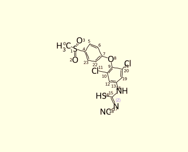 CS(=O)(=O)c1ccc(Oc2c(Cl)cc(N/C(S)=N/C#N)cc2Cl)cc1